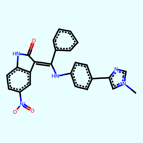 Cn1cnc(-c2ccc(NC(=C3C(=O)Nc4ccc([N+](=O)[O-])cc43)c3ccccc3)cc2)c1